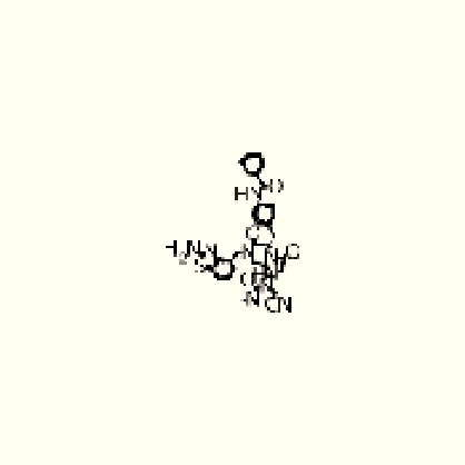 CN(C)C(=O)N(CC#N)N1CC(=O)N2[C@@H](Cc3ccc(NC(=O)c4ccccc4)cc3)C(=O)N(Cc3cccc4sc(N)nc34)C[C@@H]21